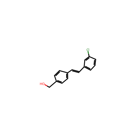 OCc1ccc(/C=C/c2cccc(Cl)c2)cc1